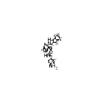 Cc1nc(N)ccc1CNC(=O)[C@@H]1CCc2cnc(NCC3Cc4ccccc4C3)c(=O)n21